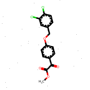 COC(=O)C(=O)c1ccc(OCc2ccc(Cl)c(Cl)c2)cc1